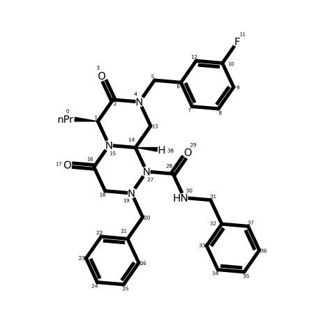 CCC[C@H]1C(=O)N(Cc2cccc(F)c2)C[C@H]2N1C(=O)CN(Cc1ccccc1)N2C(=O)NCc1ccccc1